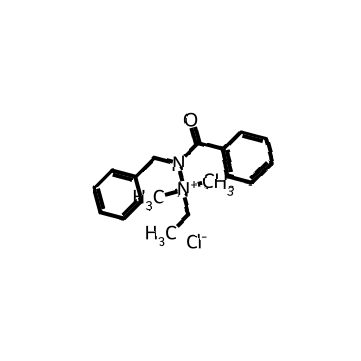 CC[N+](C)(C)N(Cc1ccccc1)C(=O)c1ccccc1.[Cl-]